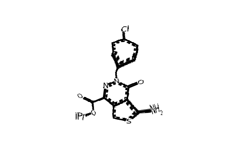 CC(C)OC(=O)c1nn(-c2ccc(Cl)cc2)c(=O)c2c(N)scc12